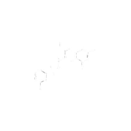 COC(=O)[C@H](Cc1ccc(Br)cc1Br)[C@@H](C)NS(=O)(=O)c1cccc(C)c1